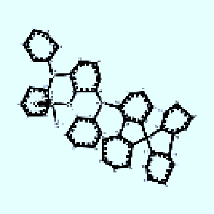 O=S(=O)(Oc1c(N(c2ccccc2)c2ccccc2)cccc1N(c1ccccc1)c1cccc2c1-c1ccccc1C21c2ccccc2-c2ccccc21)C(F)(F)F